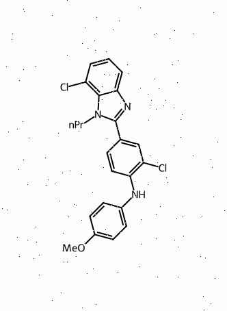 CCCn1c(-c2ccc(Nc3ccc(OC)cc3)c(Cl)c2)nc2cccc(Cl)c21